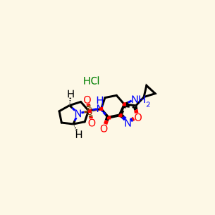 Cl.NC1CCC(S(=O)(=O)N2[C@@H]3CC[C@H]2CC(NC(=O)c2cc(C4CC4)on2)C3)CC1